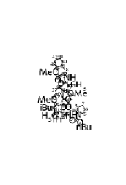 CCCCOC(=O)N1C2CCC(C2)C1C(=O)N[C@H](C(=O)N(C)[C@@H]([C@@H](C)CC)[C@@H](CC(=O)N1CCC[C@H]1[C@H](OC)[C@@H](C)C(=O)N[C@@H](Cc1ccccc1)C(=O)OC)OC)C(C)C